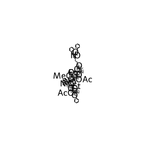 CCC1O[C@H](OCCCCCN(Cc2ccccc2)C(=O)OCc2ccccc2)C(C)[C@@H](C)[C@@H]1O[C@@H]1OC(C(=O)OC)[C@@H](O[C@H]2OC(CC)[C@@H](O[C@@H]3OC(C)[C@@H](C)[C@@H](OCc4ccccc4)C3OC(C)=O)[C@H](C)C2N=[N+]=[N-])[C@H](C)C1OC(C)=O